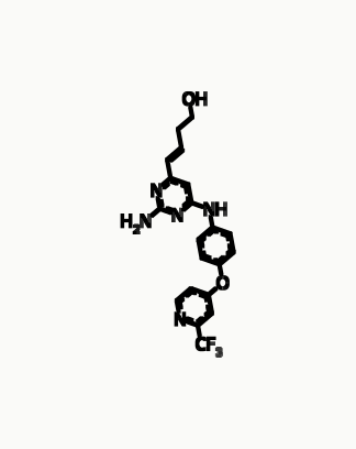 Nc1nc(/C=C/CCO)cc(Nc2ccc(Oc3ccnc(C(F)(F)F)c3)cc2)n1